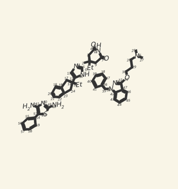 CCC1(C)CC(=O)NC(=O)C1.CCC1(c2cnc[nH]2)Cc2ccccc2C1.CN(C)CCCOc1nn(Cc2ccccc2)c2ccccc12.Nc1nc(N)c(-c2ccccc2)s1